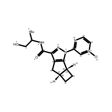 CC(C)(C)C(CO)NC(=O)c1nn(-c2c[n+]([O-])ccn2)c2c1C[C@H]1CC[C@@H]21